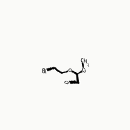 CO[C@@H](C=O)OCCBr